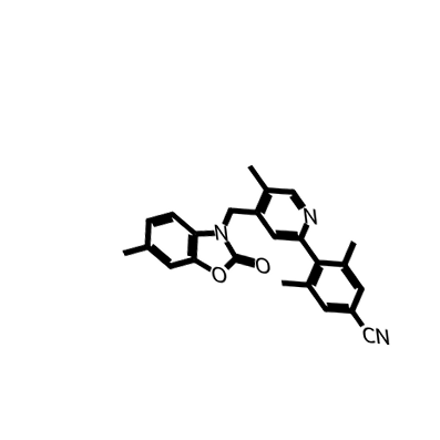 Cc1ccc2c(c1)oc(=O)n2Cc1cc(-c2c(C)cc(C#N)cc2C)ncc1C